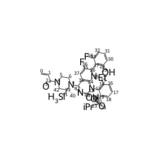 C=CC(=O)N1CCN(C2=NC(O)N(c3c(CC)cccc3S(=O)(=O)C(C)C)c3nc(-c4c(O)cccc4F)c(F)cc32)[C@@](C)([SiH3])C1